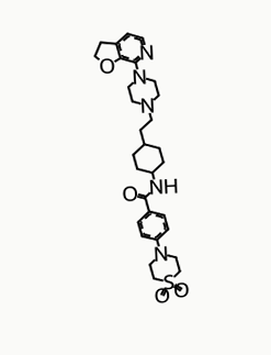 O=C(NC1CCC(CCN2CCN(c3nccc4c3OCC4)CC2)CC1)c1ccc(N2CCS(=O)(=O)CC2)cc1